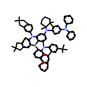 CC1(C)Cc2ccc(N3c4cc5c(cc4B4c6ccc(-c7ccccc7)cc6N(c6ccc(C(C)(C)C)cc6-c6ccccc6)c6cc(N7c8ccc(N(c9ccccc9)c9ccccc9)cc8C8(C)CCCCC78C)cc3c64)CC(C)(C)C5)cc2C1